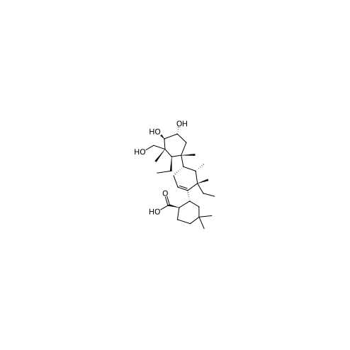 CC[C@H]1[C@](C)(CO)[C@@H](O)[C@H](O)C[C@]1(C)[C@H]1CC=C([C@@H]2CC(C)(C)CC[C@H]2C(=O)O)[C@@](C)(CC)[C@H]1C